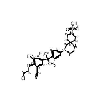 CC(C)(c1ccc(N2CCOC3(CCN(S(C)(=O)=O)CC3)C2)cc1)c1cc(Cl)c(OCCCl)c(C#N)c1